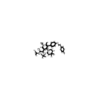 Cc1c(-c2ccc(OCCc3ccc(F)cc3)cc2)c(N2CCC(C)(C)CC2)c(C(OC(C)(C)C)C(=O)OC(C)C)c[n+]1[O-]